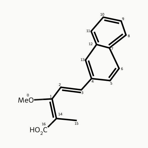 COC(C=Cc1ccc2ccccc2c1)=C(C)C(=O)O